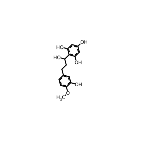 COc1ccc(CCC(O)c2c(O)cc(O)cc2O)cc1O